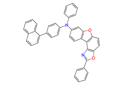 c1ccc(-c2nc3c(ccc4oc5cc(N(c6ccccc6)c6ccc(-c7cccc8ccccc78)cc6)ccc5c43)o2)cc1